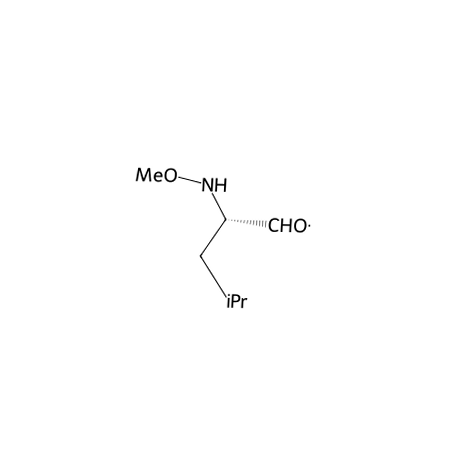 CON[C@H]([C]=O)CC(C)C